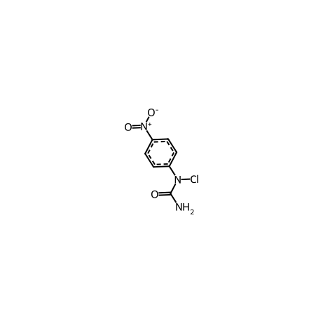 NC(=O)N(Cl)c1ccc([N+](=O)[O-])cc1